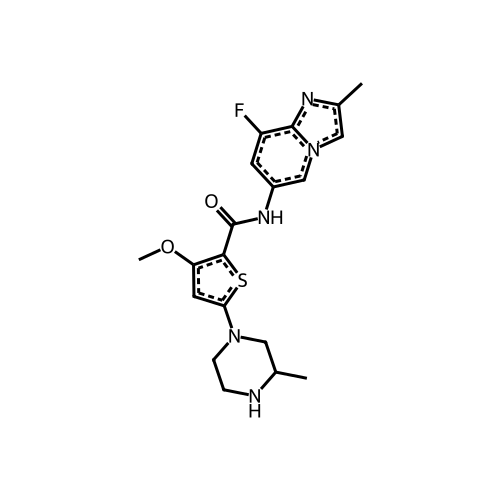 COc1cc(N2CCNC(C)C2)sc1C(=O)Nc1cc(F)c2nc(C)cn2c1